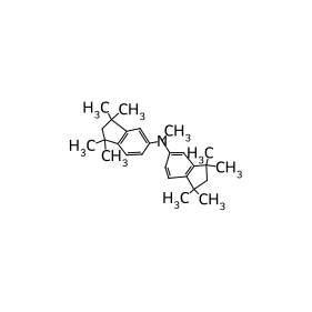 CN(c1ccc2c(c1)C(C)(C)CC2(C)C)c1ccc2c(c1)C(C)(C)CC2(C)C